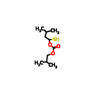 CC(C)COC(=O)OC(S)CC(C)C